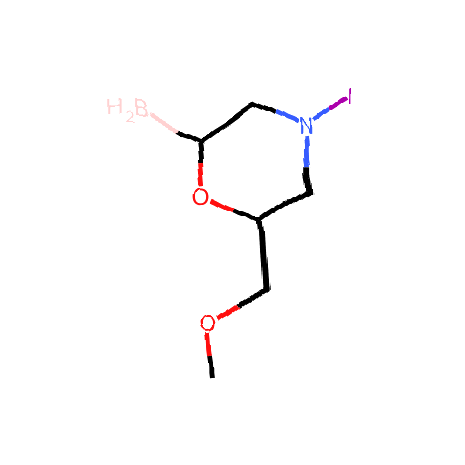 BC1CN(I)CC(COC)O1